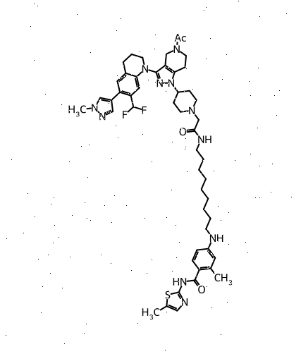 CC(=O)N1CCc2c(c(N3CCCc4cc(-c5cnn(C)c5)c(C(F)F)cc43)nn2C2CCN(CC(=O)NCCCCCCCCCNc3ccc(C(=O)Nc4ncc(C)s4)c(C)c3)CC2)C1